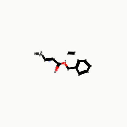 C=C.O=C(O)/C=C/C(=O)OCc1ccccc1